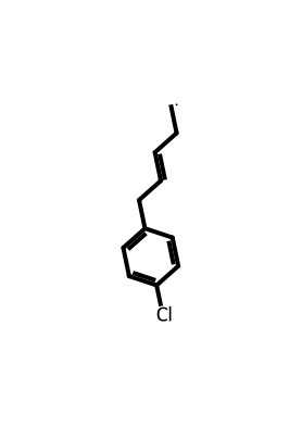 [CH2]CC=CCc1ccc(Cl)cc1